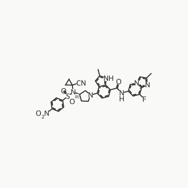 Cc1cn2cc(NC(=O)c3ccc(N4CC[C@@H](N(C5(C#N)CC5)S(=O)(=O)c5ccc([N+](=O)[O-])cc5)C4)c4cc(C)[nH]c34)cc(F)c2n1